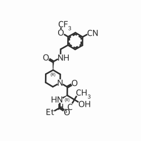 CCC(=O)N[C@@H](C(=O)N1CCC[C@@H](C(=O)NCc2ccc(C#N)cc2OC(F)(F)F)C1)C(C)(C)O